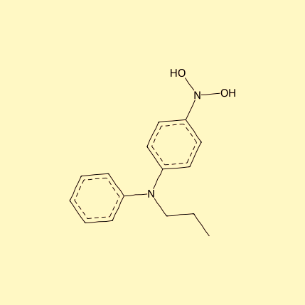 CCCN(c1ccccc1)c1ccc(N(O)O)cc1